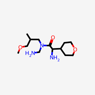 COCC(C)CN(CN)C(=O)C(N)C1CCOCC1